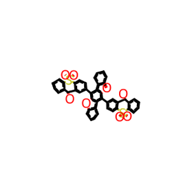 O=C1c2ccccc2S(=O)(=O)c2ccc(-c3c4oc5ccccc5c4c(-c4ccc5c(c4)C(=O)c4ccccc4S5(=O)=O)c4oc5ccccc5c34)cc21